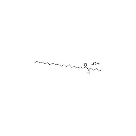 CCCCCCCCC=CCCCCCCCCCC(=O)NC(CO)CCCC